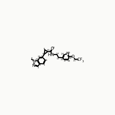 Cn1ncc2ccc(C3CC3C(=O)NCCc3ccc(OCC(F)(F)F)nc3)cc21